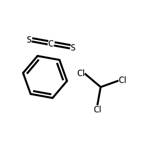 ClC(Cl)Cl.S=C=S.c1ccccc1